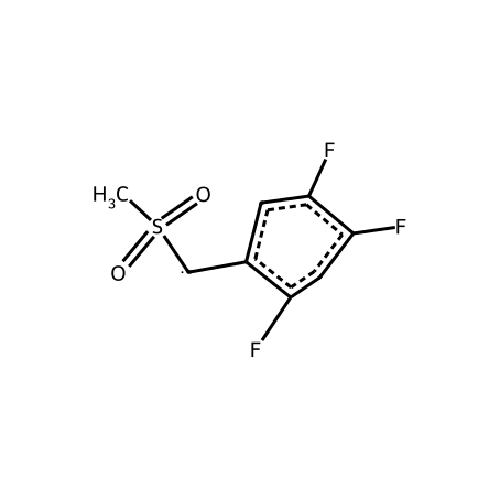 CS(=O)(=O)[CH]c1cc(F)c(F)cc1F